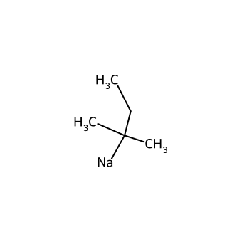 CC[C](C)(C)[Na]